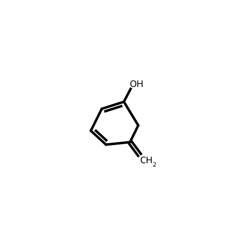 C=C1C=CC=C(O)C1